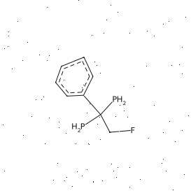 FCC(P)(P)c1ccccc1